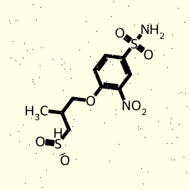 CC(COc1ccc(S(N)(=O)=O)cc1[N+](=O)[O-])C[SH](=O)=O